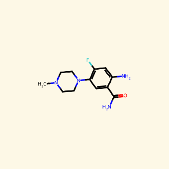 CN1CCN(c2cc(C(N)=O)c(N)cc2F)CC1